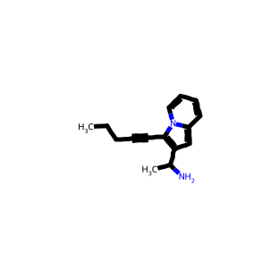 CCCC#Cc1c(C(C)N)cc2ccccn12